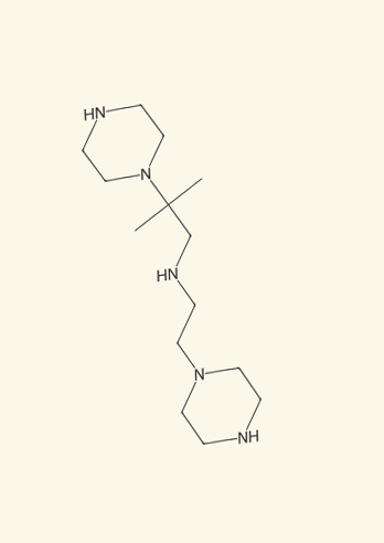 CC(C)(CNCCN1CCNCC1)N1CCNCC1